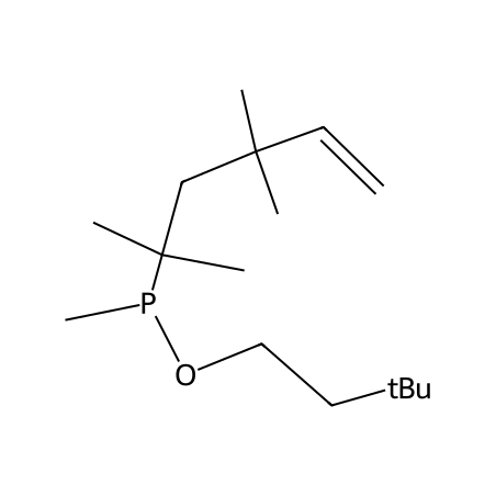 C=CC(C)(C)CC(C)(C)P(C)OCCC(C)(C)C